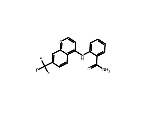 NC(=O)c1ccccc1Nc1ccnc2cc(C(F)(F)F)ccc12